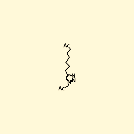 CC(=O)CCCCCCc1cn(CC(C)=O)nn1